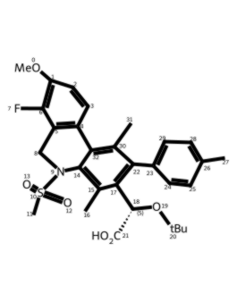 COc1ccc2c(c1F)CN(S(C)(=O)=O)c1c(C)c([C@H](OC(C)(C)C)C(=O)O)c(-c3ccc(C)cc3)c(C)c1-2